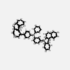 c1ccc(N(c2ccc(-c3cncc4oc5ccccc5c34)cc2)c2cccc(-n3c4ccccc4c4c5ccccc5ccc43)c2)cc1